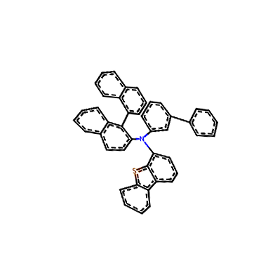 c1ccc(-c2cccc(N(c3ccc4ccccc4c3-c3cccc4ccccc34)c3cccc4c3sc3ccccc34)c2)cc1